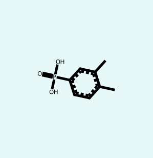 Cc1ccc(P(=O)(O)O)cc1C